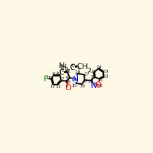 C=C.C=CC(C(=O)c1ccc(F)cc1)N1CCC(c2noc3ccccc23)CC1